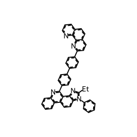 CCc1nc2c3c(-c4ccc(-c5ccc(-c6ccc7ccc8cccnc8c7n6)cc5)cc4)nc4ccccc4c3ccc2n1-c1ccccc1